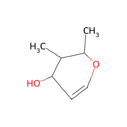 CC1OC=CC(O)C1C